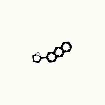 [c]1c(C2CCCO2)ccc2cc3ccccc3cc12